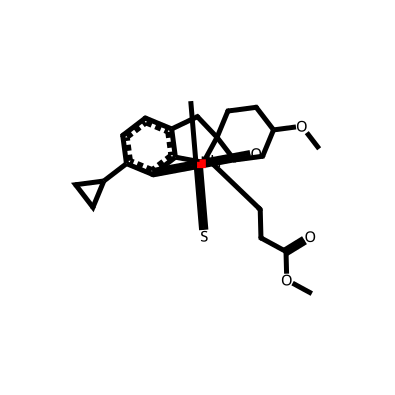 COC(=O)CCN1C(=O)C2(NC1=S)c1cc(C3CC3)ccc1CC21CCC(OC)CC1